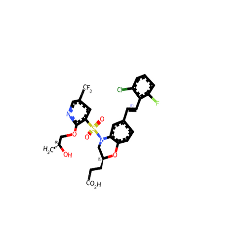 C[C@@H](O)COc1ncc(C(F)(F)F)cc1S(=O)(=O)N1C[C@H](CCC(=O)O)Oc2ccc(/C=C/c3c(F)cccc3Cl)cc21